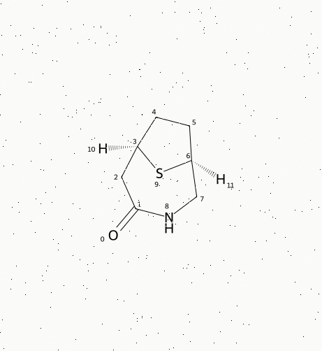 O=C1C[C@H]2CC[C@@H](CN1)S2